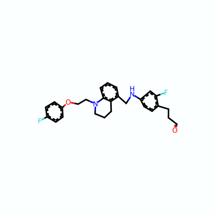 O=CCCc1ccc(NCc2cccc3c2CCCN3CCOc2ccc(F)cc2)cc1F